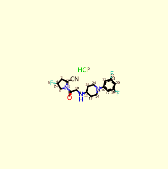 Cl.N#C[C@@H]1C[C@H](F)CN1C(=O)CNC1CCN(c2cc(F)cc(F)c2)CC1